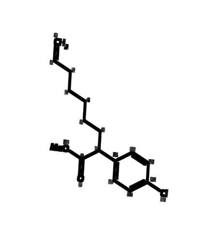 C=CCCCCCC(C(=O)OC)c1ccc(Cl)cc1